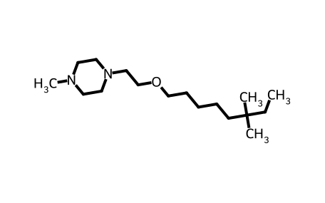 CCC(C)(C)CCCCCOCCN1CCN(C)CC1